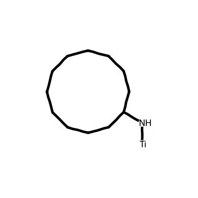 [Ti][NH]C1CCCCCCCCCCC1